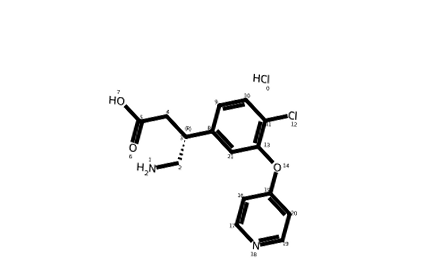 Cl.NC[C@H](CC(=O)O)c1ccc(Cl)c(Oc2ccncc2)c1